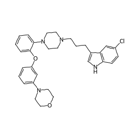 Clc1ccc2[nH]cc(CCCN3CCN(c4ccccc4Oc4cccc(N5CCOCC5)c4)CC3)c2c1